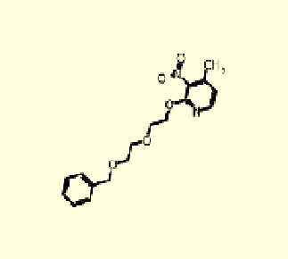 Cc1ccnc(OCCOCCOCc2ccccc2)c1[N+](=O)[O-]